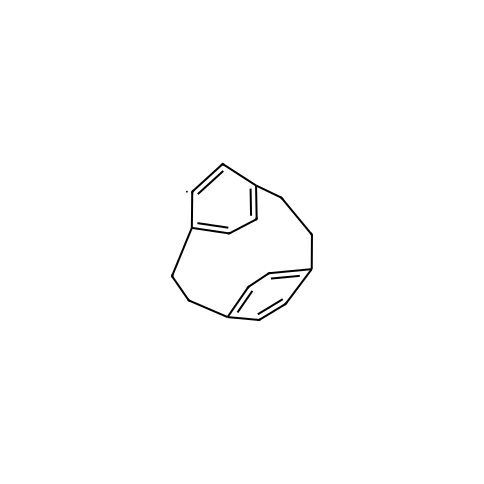 [c]1cc2ccc1CCc1ccc(cc1)CC2